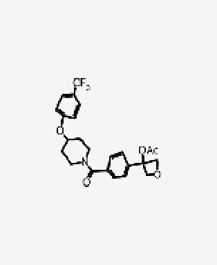 CC(=O)OC1(c2ccc(C(=O)N3CCC(Oc4ccc(C(F)(F)F)cc4)CC3)cc2)COC1